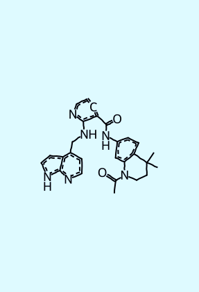 CC(=O)N1CCC(C)(C)c2ccc(NC(=O)c3cccnc3NCc3ccnc4[nH]ccc34)cc21